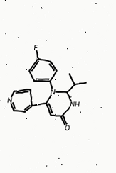 CC(C)C1NC(=O)C=C(c2ccncc2)N1c1ccc(F)cc1